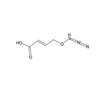 [N-]=[N+]=[SiH]OCC=CC(=O)O